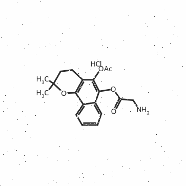 CC(=O)Oc1c2c(c3ccccc3c1OC(=O)CN)OC(C)(C)CC2.Cl